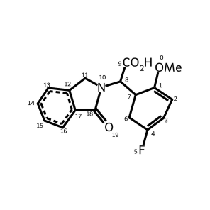 COC1=CC=C(F)CC1C(C(=O)O)N1Cc2ccccc2C1=O